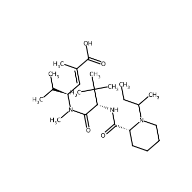 CCC(C)N1CCCC[C@@H]1C(=O)N[C@H](C(=O)N(C)[C@H](/C=C(\C)C(=O)O)C(C)C)C(C)(C)C